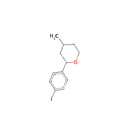 CC1CCOC(c2ccc(I)cc2)C1